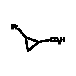 [CH2]C(C)C1CC1C(=O)O